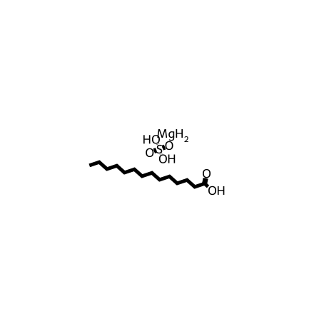 CCCCCCCCCCCCCC(=O)O.O=S(=O)(O)O.[MgH2]